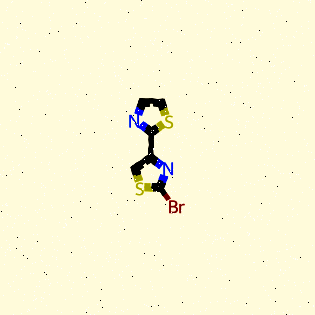 Brc1nc(-c2nccs2)cs1